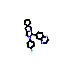 Fc1ccc(N2C=C3CC4(CCCC4)CN3C2c2ccc3nccnc3c2)cc1